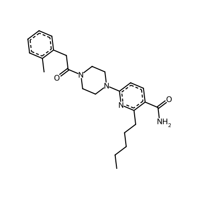 CCCCCc1nc(N2CCN(C(=O)Cc3ccccc3C)CC2)ccc1C(N)=O